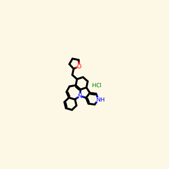 C1=CC2=CCC3=C4C(CCC3CC3CCCO3)C3=CNCC=C3N4C2CC1.Cl